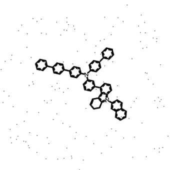 C1=Cc2c(n(-c3ccc4ccccc4c3)c3cccc(-c4cccc(N(c5ccc(-c6ccccc6)cc5)c5ccc(-c6ccc(-c7ccccc7)cc6)cc5)c4)c23)CC1